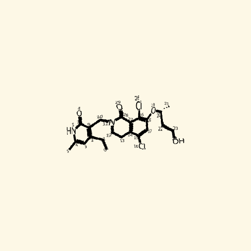 CCc1cc(C)[nH]c(=O)c1CN1CCc2c(Cl)cc(O[C@H](C)CCO)c(Cl)c2C1=O